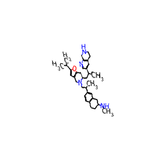 CNC1CCc2ccc(C(C)CN3Cc4cc(C(C)C)oc4CC3CC(C)c3cnc4c(c3)CCNC4)cc2C1